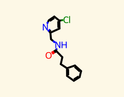 O=C(CCc1ccccc1)NCc1cc(Cl)ccn1